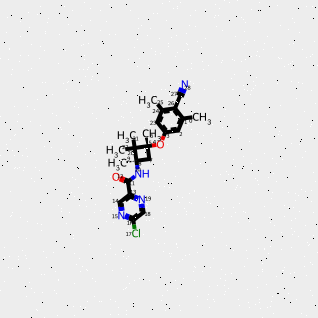 Cc1cc(O[C@]2(C)C[C@@](C)(NC(=O)c3cnc(Cl)cn3)C2(C)C)cc(C)c1C#N